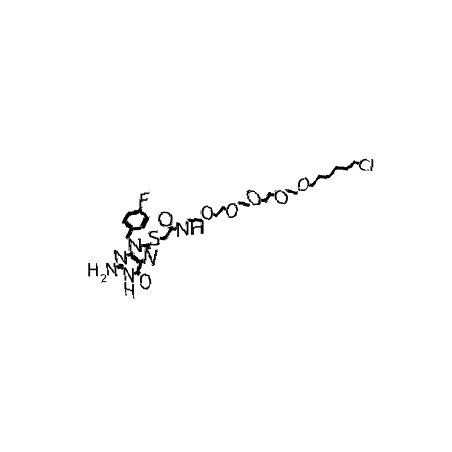 Nc1nc2c(nc(SCC(=O)NCCOCCOCCOCCOCCOCCCCCCCl)n2Cc2ccc(F)cc2)c(=O)[nH]1